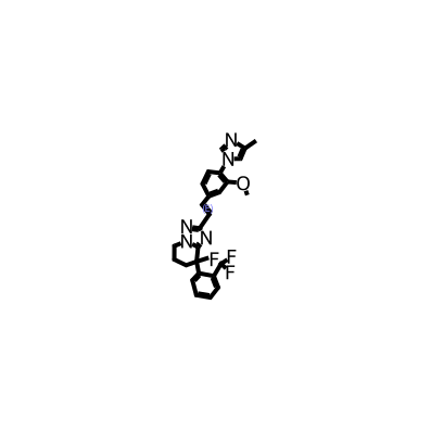 COc1cc(/C=C/c2nc3n(n2)CCCC3(C)c2ccccc2C(F)(F)F)ccc1-n1cnc(C)c1